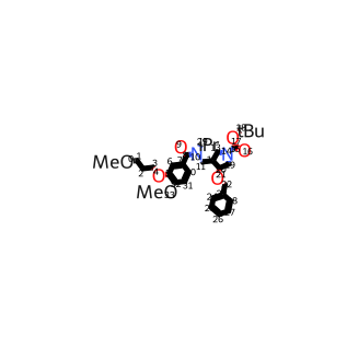 COCCCOc1cc(C(=O)N(CC2CN(C(=O)OC(C)(C)C)CC2OCc2ccccc2)C(C)C)ccc1OC